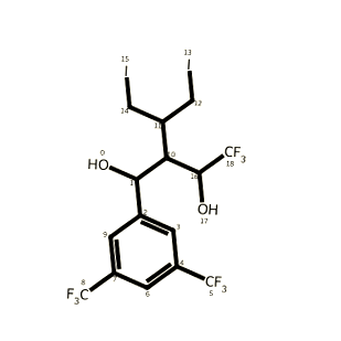 OC(c1cc(C(F)(F)F)cc(C(F)(F)F)c1)C(C(CI)CI)C(O)C(F)(F)F